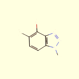 CC(C)n1nnc2c(Br)c([N+](=O)[O-])ccc21